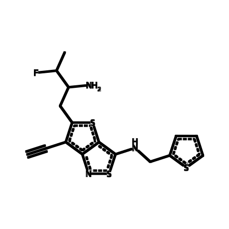 C#Cc1c(CC(N)C(C)F)sc2c(NCc3cccs3)snc12